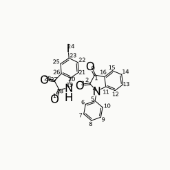 O=C1C(=O)N(c2ccccc2)c2ccccc21.O=C1Nc2ccc(I)cc2C1=O